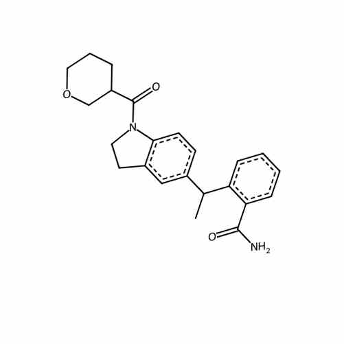 CC(c1ccc2c(c1)CCN2C(=O)C1CCCOC1)c1ccccc1C(N)=O